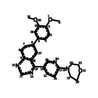 COc1ccc(-c2ccc3ncnc(-c4ccc(N5CCOCC5)nc4)c3c2)cc1OC